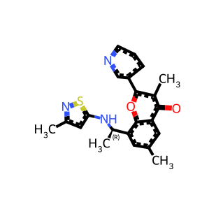 Cc1cc([C@@H](C)Nc2cc(C)ns2)c2oc(-c3cccnc3)c(C)c(=O)c2c1